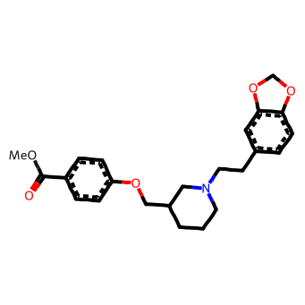 COC(=O)c1ccc(OCC2CCCN(CCc3ccc4c(c3)OCO4)C2)cc1